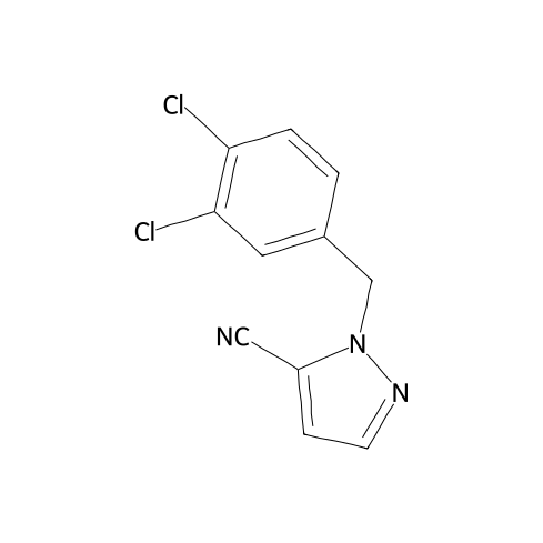 N#Cc1ccnn1Cc1ccc(Cl)c(Cl)c1